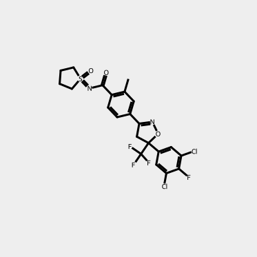 Cc1cc(C2=NOC(c3cc(Cl)c(F)c(Cl)c3)(C(F)(F)F)C2)ccc1C(=O)N=S1(=O)CCCC1